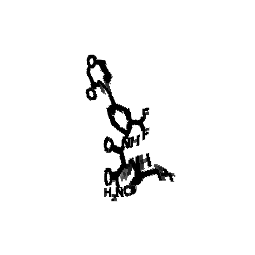 CC(C)C(=O)N[C@@H](C(N)=O)C(=O)Nc1ccc(N2CCOCC2=O)cc1C(F)F